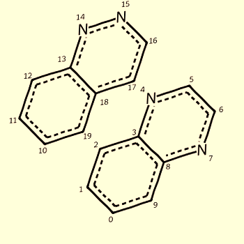 c1ccc2nccnc2c1.c1ccc2nnccc2c1